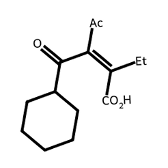 CCC(C(=O)O)=C(C(C)=O)C(=O)C1CCCCC1